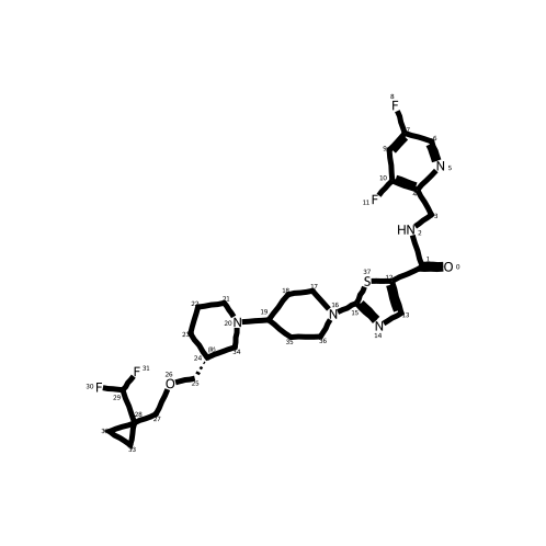 O=C(NCc1ncc(F)cc1F)c1cnc(N2CCC(N3CCC[C@@H](COCC4(C(F)F)CC4)C3)CC2)s1